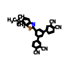 C[Si](C)(C)c1ccc2nc(-c3cc(-c4ccc(C#N)c(C#N)c4)cc(-c4ccc(C#N)c(C#N)c4)c3)sc2c1